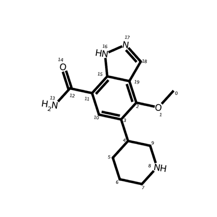 COc1c(C2CCCNC2)cc(C(N)=O)c2[nH]ncc12